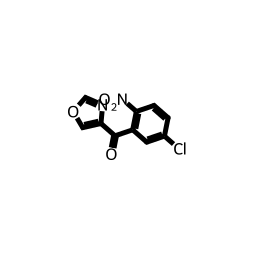 O=C(c1cocn1)c1cc(Cl)ccc1[N+](=O)[O-]